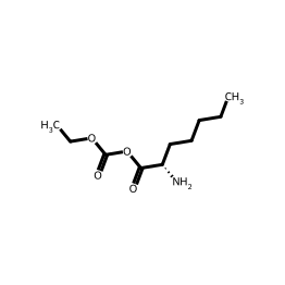 CCCCC[C@H](N)C(=O)OC(=O)OCC